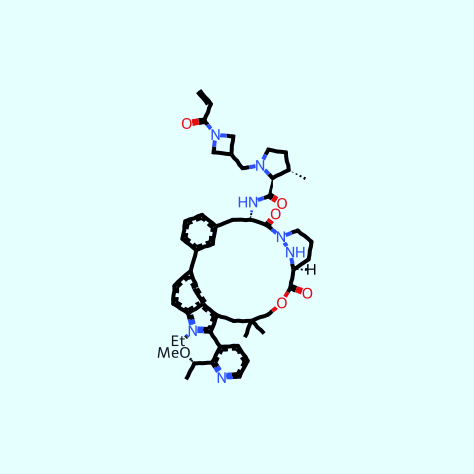 C=CC(=O)N1CC(CN2CC[C@H](C)[C@H]2C(=O)N[C@H]2Cc3cccc(c3)-c3ccc4c(c3)c(c(-c3cccnc3[C@H](C)OC)n4CC)CC(C)(C)COC(=O)[C@@H]3CCCN(N3)C2=O)C1